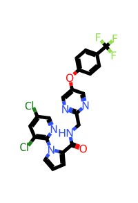 O=C(NCc1ncc(Oc2ccc(C(F)(F)F)cc2)cn1)c1cccn1-c1ncc(Cl)cc1Cl